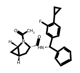 CC(=O)N1[C@H](C(=O)N[C@@H](c2ccccc2)c2ccc(C3CC3)c(F)c2)C[C@@H]2C[C@@H]21